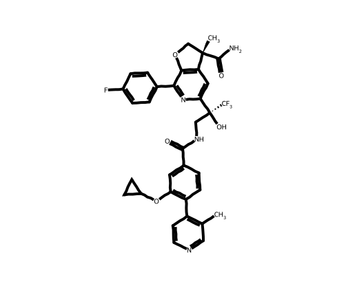 Cc1cnccc1-c1ccc(C(=O)NC[C@](O)(c2cc3c(c(-c4ccc(F)cc4)n2)OC[C@]3(C)C(N)=O)C(F)(F)F)cc1OC1CC1